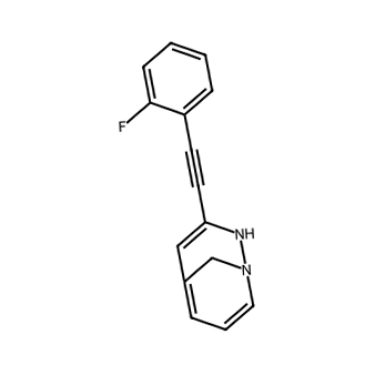 Fc1ccccc1C#CC1=CC2=CC=CN(C2)N1